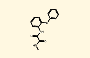 CNC(=O)C(=O)Nc1ccccc1Oc1ccccc1